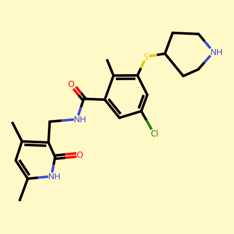 Cc1cc(C)c(CNC(=O)c2cc(Cl)cc(SC3CCNCC3)c2C)c(=O)[nH]1